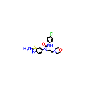 Nc1nc2ccc(N(CCCN3CCOCC3)C(=O)Nc3ccc(Cl)cc3)cc2s1